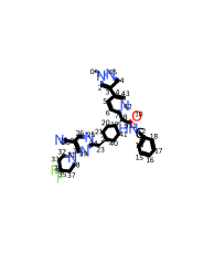 Cn1cc(-c2ccc(C(C(=O)NCc3ccccc3)[C@H]3CC[C@H](Cc4ncc(C#N)c(N5CCC(F)(F)CC5)n4)CC3)nc2)cn1